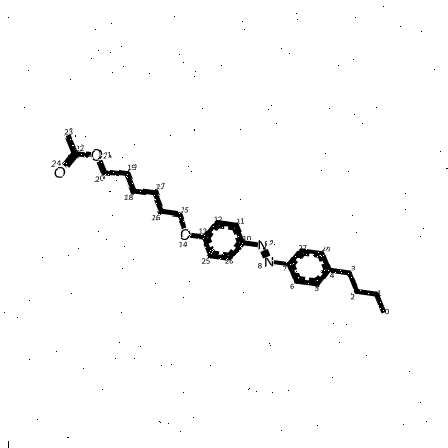 CCCCc1ccc(N=Nc2ccc(OCCCCCCOC(C)=O)cc2)cc1